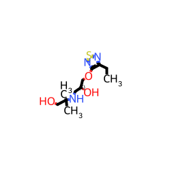 CCc1nsnc1OC[C@@H](O)CNC(C)(C)CO